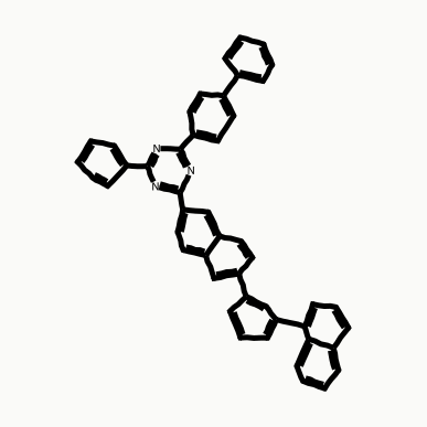 c1ccc(-c2ccc(-c3nc(-c4ccccc4)nc(-c4ccc5cc(-c6cccc(-c7cccc8ccccc78)c6)ccc5c4)n3)cc2)cc1